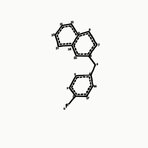 Fc1ccc([CH]c2ccc3ccccc3c2)cc1